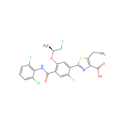 CCc1sc(-c2cc(O[C@@H](C)CF)c(C(=O)Nc3c(F)cccc3Cl)cc2F)nc1C(=O)O